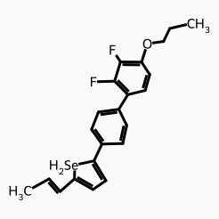 CC=CC1=CC=C(c2ccc(-c3ccc(OCCC)c(F)c3F)cc2)[SeH2]1